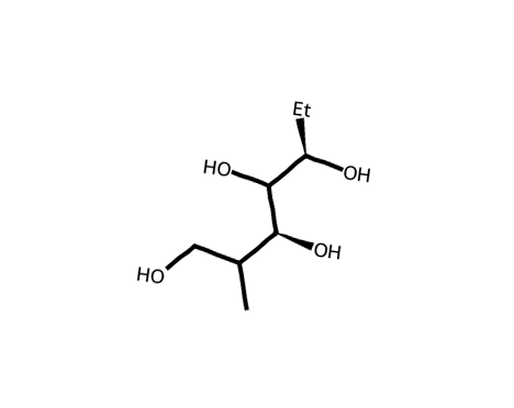 CC[C@@H](O)C(O)[C@@H](O)C(C)CO